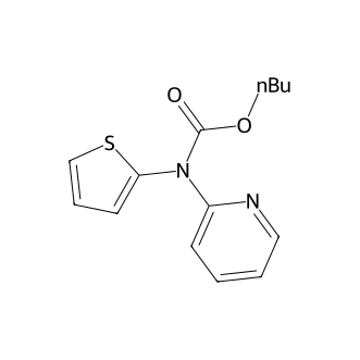 CCCCOC(=O)N(c1ccccn1)c1cccs1